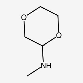 CN[C]1COCCO1